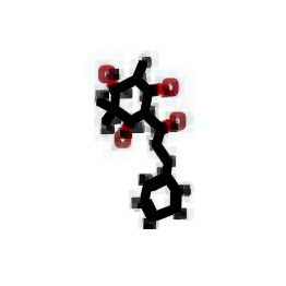 CC1C(=O)C(C(=O)CCc2ccccc2)C(=O)C(C)(C)C1=O